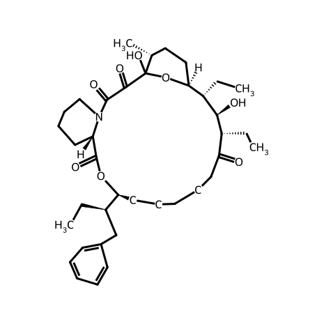 CC[C@H](Cc1ccccc1)[C@@H]1CCCCCC(=O)[C@@H](CC)[C@H](O)[C@@H](CC)[C@@H]2CC[C@@H](C)C(O)(O2)C(=O)C(=O)N2CCCC[C@H]2C(=O)O1